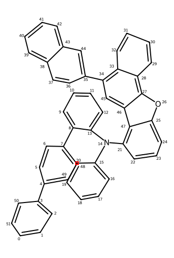 c1ccc(-c2ccc(-c3ccccc3N(c3ccccc3)c3cccc4oc5c6ccccc6c(-c6ccc7ccccc7c6)cc5c34)cc2)cc1